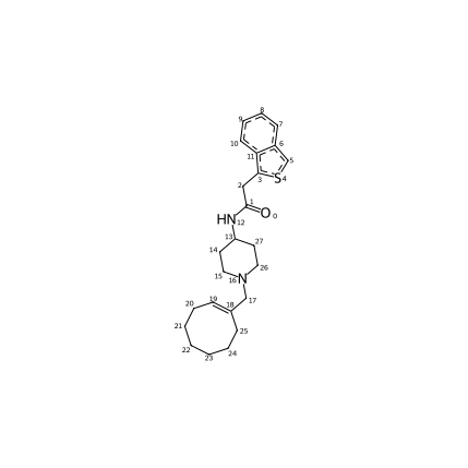 O=C(Cc1scc2ccccc12)NC1CCN(CC2=CCCCCCC2)CC1